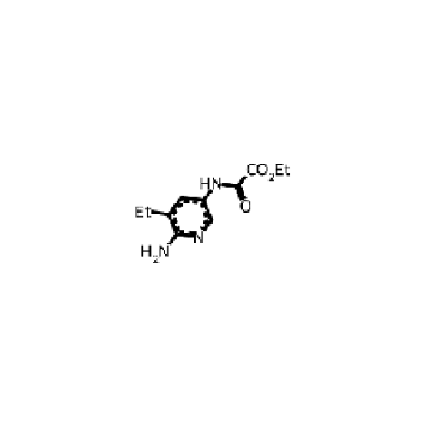 CCOC(=O)C(=O)Nc1cnc(N)c(CC)c1